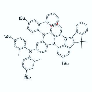 Cc1cc2c3c(c1)-n1c4c(c5cc(C(C)(C)C)cc(c51)B3c1ccc(N(c3ccc(C(C)(C)C)cc3C)c3ccc(C(C)(C)C)cc3C)cc1N2c1ccc(C(C)(C)C)cc1-c1ccccc1)C(C)(C)c1ccccc1-4